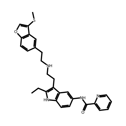 CCc1[nH]c2ccc(NC(=O)c3ccccn3)cc2c1CCNCCc1ccc2occ(SC)c2c1